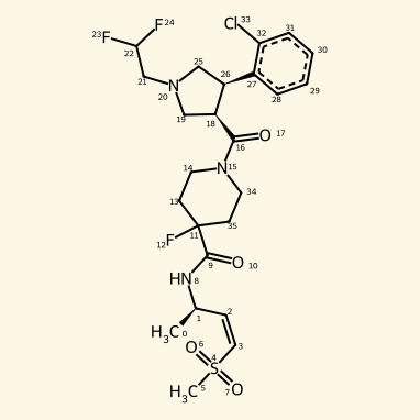 C[C@H](/C=C\S(C)(=O)=O)NC(=O)C1(F)CCN(C(=O)[C@H]2CN(CC(F)F)C[C@H]2c2ccccc2Cl)CC1